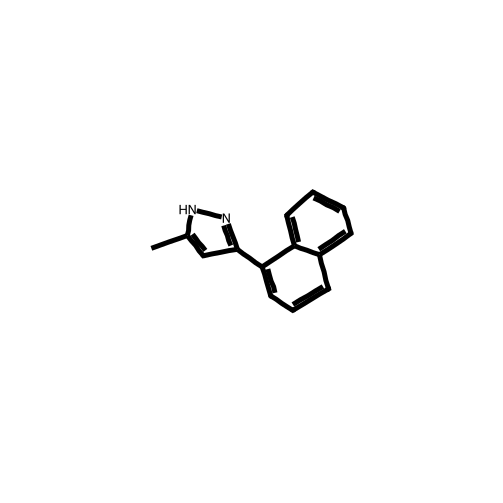 Cc1cc(-c2cccc3ccccc23)n[nH]1